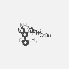 Cc1cccc(F)c1-c1cc(N2CC[C@@H](CNC(=O)OC(C)(C)C)C2)c2cc(N)ncc2c1